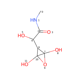 CNC(=O)C(O)C1C2(O)OC12O